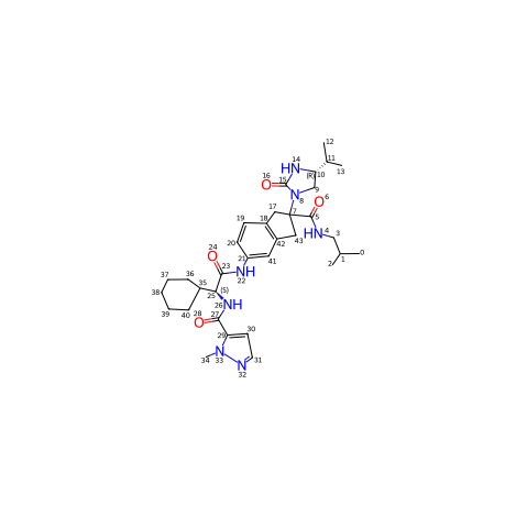 CC(C)CNC(=O)C1(N2C[C@@H](C(C)C)NC2=O)Cc2ccc(NC(=O)[C@@H](NC(=O)c3ccnn3C)C3CCCCC3)cc2C1